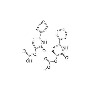 COC(=O)Oc1ccc(-c2ccccc2)[nH]c1=O.O=C(O)Oc1ccc(-c2ccccc2)[nH]c1=O